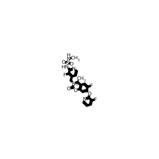 CNS(=O)(=O)Nc1nccc(CN2C(=O)Oc3cc(Oc4ncccc4F)c(F)cc3[C@@H]2C)c1F